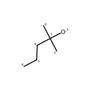 [CH2]C(C)([O])CCC